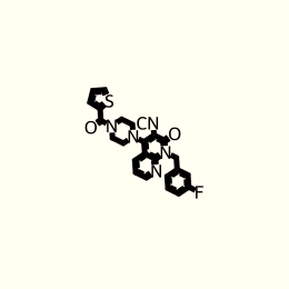 N#Cc1c(N2CCN(C(=O)c3cccs3)CC2)c2cccnc2n(Cc2cccc(F)c2)c1=O